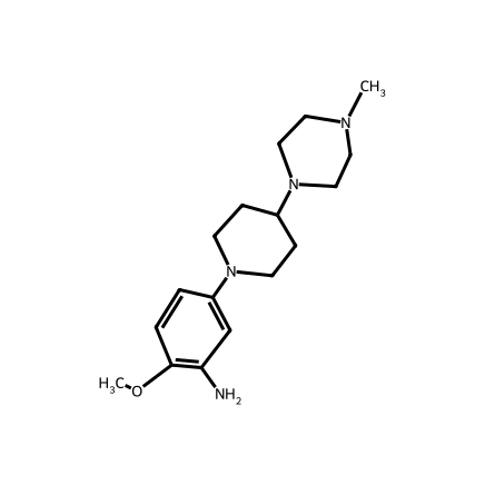 COc1ccc(N2CCC(N3CCN(C)CC3)CC2)cc1N